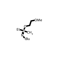 CCP(C)(=NC(C)(C)C)OCCOC